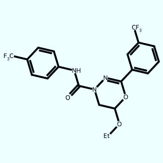 CCOC1CN(C(=O)Nc2ccc(C(F)(F)F)cc2)N=C(c2cccc(C(F)(F)F)c2)O1